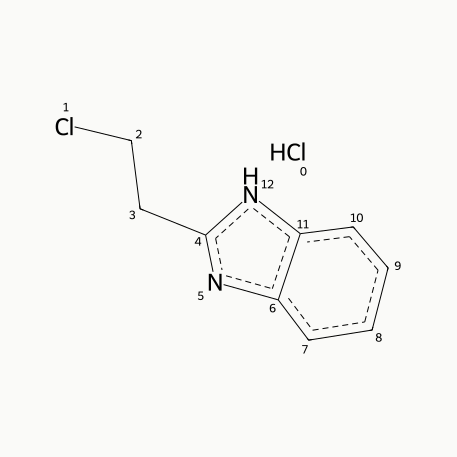 Cl.ClCCc1nc2ccccc2[nH]1